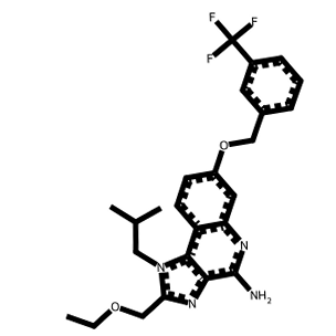 CCOCc1nc2c(N)nc3cc(OCc4cccc(C(F)(F)F)c4)ccc3c2n1CC(C)C